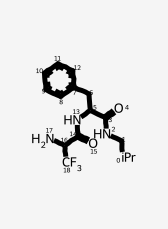 CC(C)CNC(=O)C(Cc1ccccc1)NC(=O)C(N)C(F)(F)F